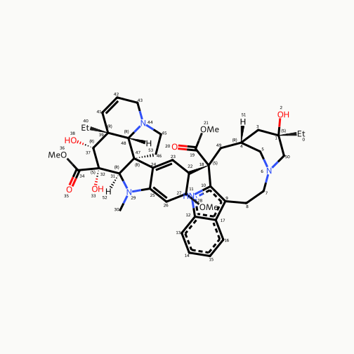 CC[C@]1(O)C[C@@H]2CN(CCc3c([nH]c4ccccc34)[C@@](C(=O)OC)(C3C=C4C(=CC3OC)N(C)[C@H]3[C@@](O)(C(=O)OC)[C@H](O)[C@]5(CC)C=CCN6CC[C@]43[C@@H]65)C2)C1